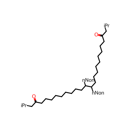 CCCCCCCCCC(CCCCCCCCCC(=O)CC(C)C)C(CCCCCCCCC)CCCCCCCCCC(=O)CC(C)C